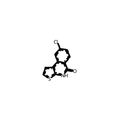 O=c1[nH]c2sccc2c2cc(Cl)ccc12